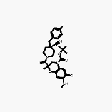 CNc1cc2c(cc1Cl)N(C(=O)OC(C)(C)C)CC(C)(C(=O)N1CCC(C#N)(Cc3ccc(F)cc3)CC1)O2